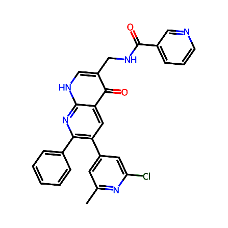 Cc1cc(-c2cc3c(=O)c(CNC(=O)c4cccnc4)c[nH]c3nc2-c2ccccc2)cc(Cl)n1